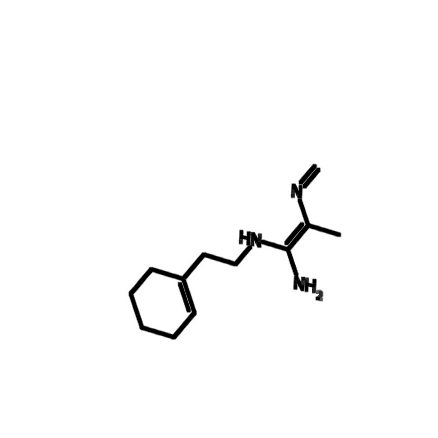 C=N/C(C)=C(/N)NCCC1=CCCCC1